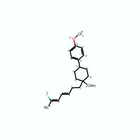 COC1(CCC=CC=C(F)C#N)CCC(c2ccc(OC(F)(F)F)cc2)CC1